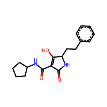 O=C(NC1CCCC1)C1=C(O)C(CCc2ccccc2)NC1=O